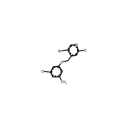 Cc1cc(Cl)cc(OCc2cc(Cl)ncc2Br)c1